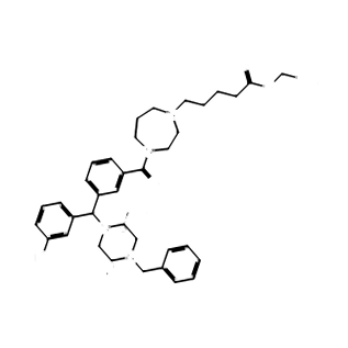 CCOC(=O)CCCCN1CCCN(C(=O)c2cccc(C(c3cccc(O)c3)N3C[C@@H](C)N(Cc4ccccc4)C[C@@H]3C)c2)CC1